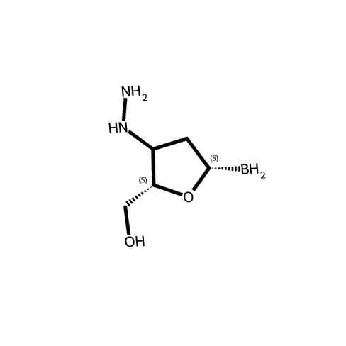 B[C@H]1CC(NN)[C@@H](CO)O1